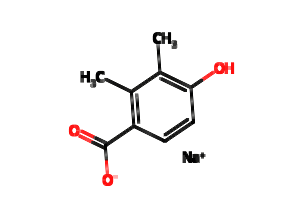 Cc1c(O)ccc(C(=O)[O-])c1C.[Na+]